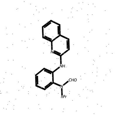 CCCN(C=O)c1ccccc1Nc1ccc2ccccc2n1